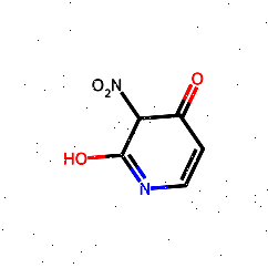 O=C1C=CN=C(O)C1[N+](=O)[O-]